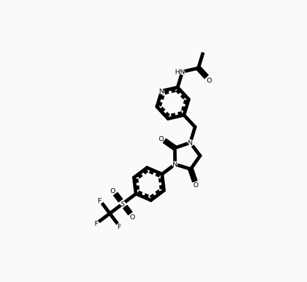 CC(=O)Nc1cc(CN2CC(=O)N(c3ccc(S(=O)(=O)C(F)(F)F)cc3)C2=O)ccn1